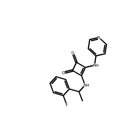 CC(Nc1c(Nc2ccncc2)c(=O)c1=O)c1ccccc1F